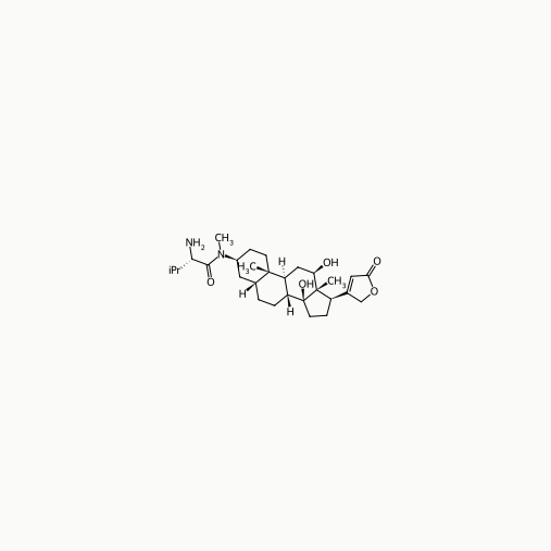 CC(C)[C@H](N)C(=O)N(C)[C@H]1CC[C@@]2(C)[C@H](CC[C@@H]3[C@@H]2C[C@@H](O)[C@]2(C)[C@@H](C4=CC(=O)OC4)CC[C@]32O)C1